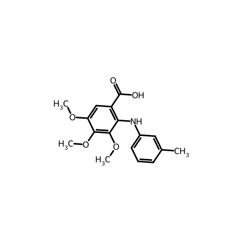 COc1cc(C(=O)O)c(Nc2cccc(C)c2)c(OC)c1OC